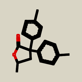 Cc1ccc(C2(c3ccc(C)cc3)CC(C)OC2=O)cc1